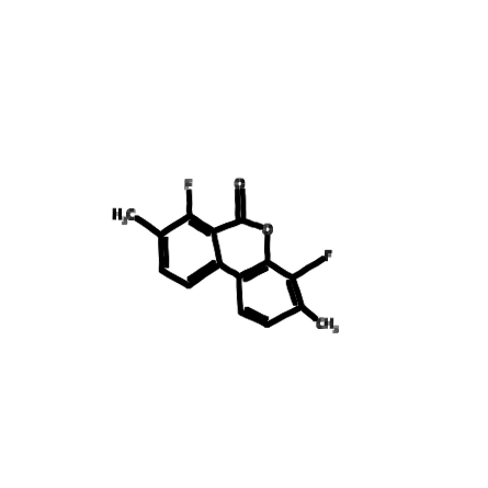 Cc1ccc2c(oc(=O)c3c(F)c(C)ccc32)c1F